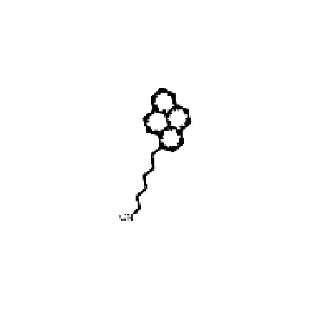 O=NCCCCCCc1ccc2ccc3cccc4ccc1c2c34